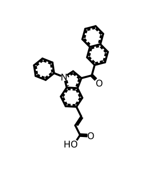 O=C(O)C=Cc1ccc2c(c1)c(C(=O)c1ccc3ccccc3c1)cn2-c1ccccc1